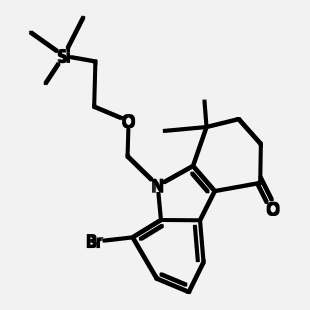 CC1(C)CCC(=O)c2c1n(COCC[Si](C)(C)C)c1c(Br)cccc21